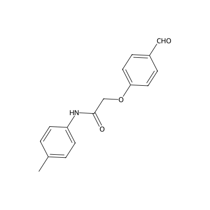 Cc1ccc(NC(=O)COc2ccc(C=O)cc2)cc1